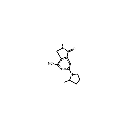 CC1CCCN1c1cc2c(c(C#N)n1)CNC2=O